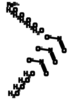 O.O.O.O.O.O.O.O.O.O=N[O-].O=N[O-].O=N[O-].[Fe+3]